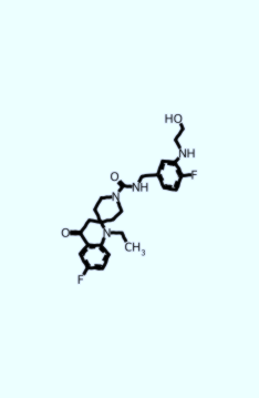 CCN1c2ccc(F)cc2C(=O)CC12CCN(C(=O)NCc1ccc(F)c(NCCO)c1)CC2